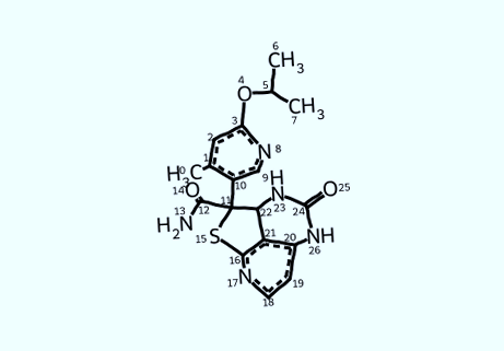 Cc1cc(OC(C)C)ncc1C1(C(N)=O)Sc2nccc3c2C1NC(=O)N3